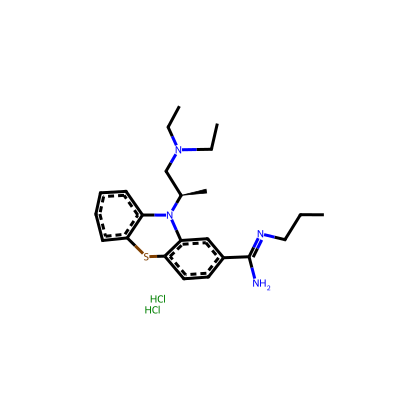 CCCN=C(N)c1ccc2c(c1)N([C@H](C)CN(CC)CC)c1ccccc1S2.Cl.Cl